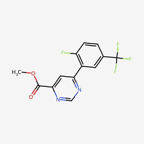 COC(=O)c1cc(-c2cc(C(F)(F)F)ccc2F)ncn1